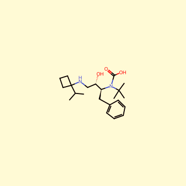 CC(C)C1(NC[C@H](O)[C@H](Cc2ccccc2)N(C(=O)O)C(C)(C)C)CCC1